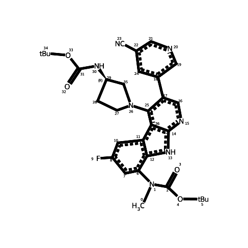 CN(C(=O)OC(C)(C)C)c1cc(F)cc2c1[nH]c1ncc(-c3cncc(C#N)c3)c(N3CC[C@@H](NC(=O)OC(C)(C)C)C3)c12